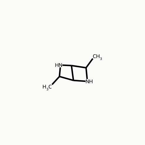 CC1NC2C(C)NC12